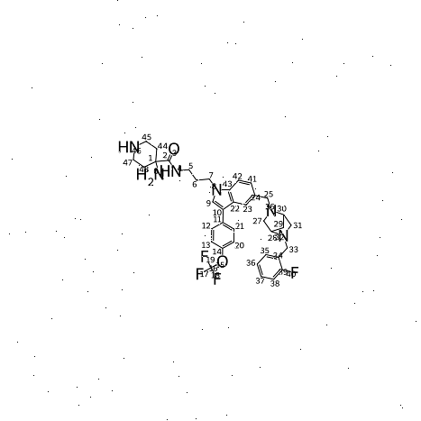 NC1(C(=O)NCCCn2cc(-c3ccc(OC(F)(F)F)cc3)c3cc(CN4CC5CC4CN5Cc4ccccc4F)ccc32)CCNCC1